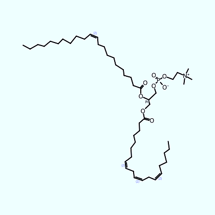 CCCCC/C=C\C/C=C\C/C=C\CCCCCCC(=O)OC[C@H](COP(=O)([O-])OCC[N+](C)(C)C)OC(=O)CCCCCCCCC/C=C\CCCCCCCCCC